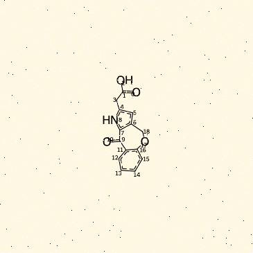 O=C(O)Cc1cc2c([nH]1)C(=O)c1ccccc1OC2